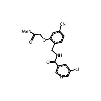 CNC(=O)COc1cc(C#N)ccc1CNC(=O)c1cncc(Cl)c1